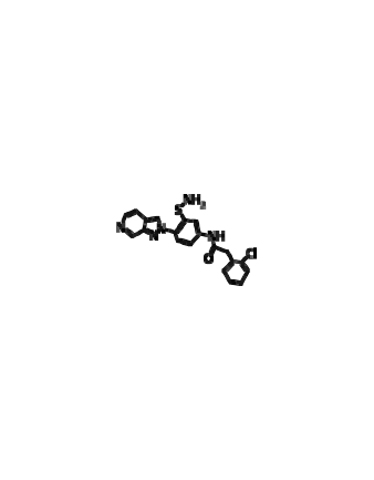 NSc1cc(NC(=O)Cc2ccccc2Cl)ccc1-n1cc2ccncc2n1